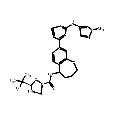 Cn1cc(Nc2nccc(-c3ccc4c(c3)OCCCC4NC(=O)N3CN[C@@H](C(C)(C)C)O3)n2)cn1